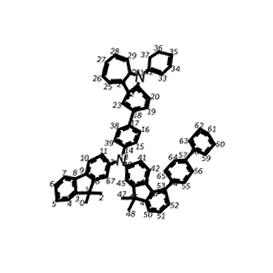 CC1(C)c2ccccc2-c2ccc(N(c3ccc(-c4ccc5c(c4)C4=CC=CC=CC4N5C4=CC=CCC4)cc3)c3ccc4c(c3)C(C)(C)c3cccc(-c5ccc(-c6ccccc6)cc5)c3-4)cc21